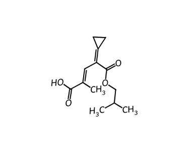 CC(=CC(C(=O)OCC(C)C)=C1CC1)C(=O)O